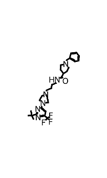 CC(C)(C)c1nc(N2CCN(CCCCNC(=O)C3CCN(Cc4ccccc4)CC3)CC2)cc(C(F)(F)F)n1